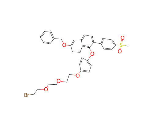 CS(=O)(=O)c1ccc(-c2ccc3cc(OCc4ccccc4)ccc3c2Oc2ccc(OCCOCCOCCBr)cc2)cc1